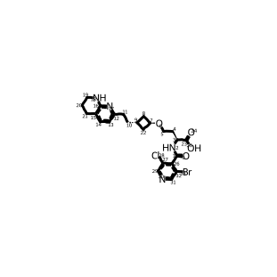 O=C(N[C@@H](CCO[C@H]1C[C@@H](CCc2ccc3c(n2)NCCC3)C1)C(=O)O)c1c(Cl)cncc1Br